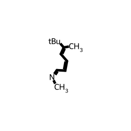 C\N=C/C=C\C=C(/C)C(C)(C)C